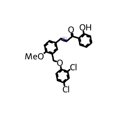 COc1ccc(/C=C/C(=O)c2ccccc2O)cc1COc1ccc(Cl)cc1Cl